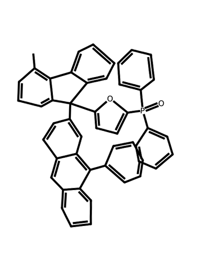 Cc1cccc2c1-c1ccccc1C2(c1ccc2cc3ccccc3c(-c3ccccc3)c2c1)c1ccc(P(=O)(c2ccccc2)c2ccccc2)o1